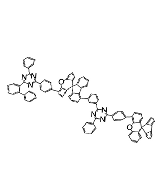 c1ccc(-c2nc(-c3ccc(-c4cccc5c4Oc4ccccc4C54c5ccccc5-c5ccccc54)cc3)nc(-c3cccc(-c4cccc5c4-c4ccccc4C54c5ccccc5Oc5c(-c6ccc(-c7nc(-c8ccccc8)nc(-c8ccccc8-c8ccccc8)n7)cc6)cccc54)c3)n2)cc1